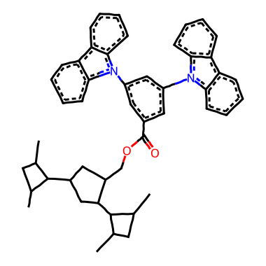 CC1CC(C)C1C1CC(COC(=O)c2cc(-n3c4ccccc4c4ccccc43)cc(-n3c4ccccc4c4ccccc43)c2)C(C2C(C)CC2C)C1